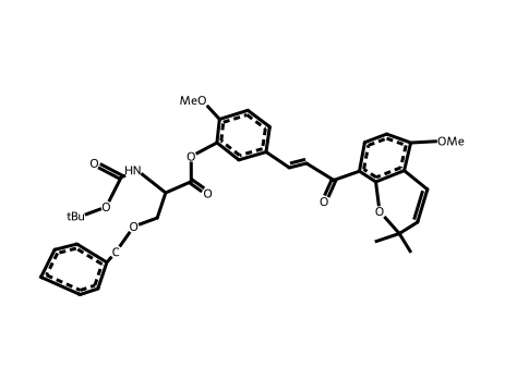 COc1ccc(C=CC(=O)c2ccc(OC)c3c2OC(C)(C)C=C3)cc1OC(=O)C(COCc1ccccc1)NC(=O)OC(C)(C)C